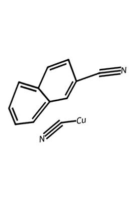 N#Cc1ccc2ccccc2c1.N#[C][Cu]